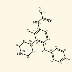 Cc1c(NC(=O)O)ccc(Cc2ccncc2)c1N1CCNCC1